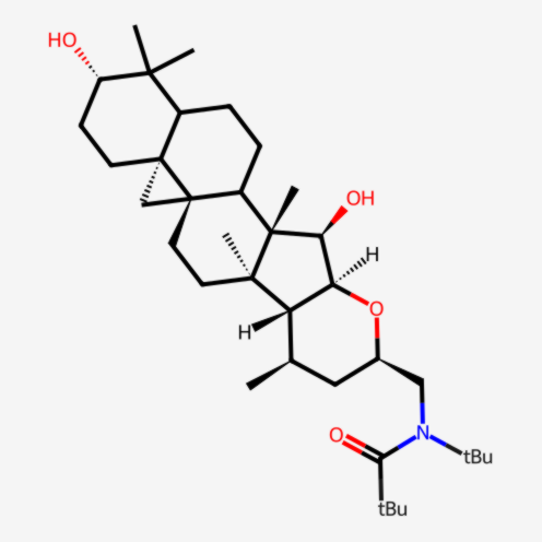 C[C@@H]1C[C@H](CN(C(=O)C(C)(C)C)C(C)(C)C)O[C@H]2[C@H]1[C@@]1(C)CC[C@@]34C[C@@]35CC[C@H](O)C(C)(C)C5CCC4[C@]1(C)[C@H]2O